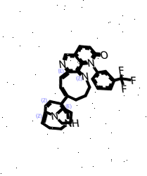 O=c1ccc2cnc3/c(c2n1-c1cccc(C(F)(F)F)c1)=N\CCCC(C1=C/NCC/C=C(N2CCCC2)/C=C\1)=C\C=3